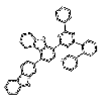 c1ccc(-c2nc(-c3ccccc3-c3cccnc3)nc(-c3ccc(-c4ccc5c(c4)oc4ccccc45)c4c3oc3ccccc34)n2)cc1